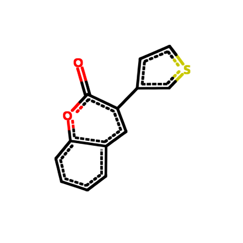 O=c1oc2ccccc2cc1-c1ccsc1